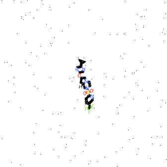 O=S(=O)(c1ccc(C(F)(F)F)cn1)N1CCN2C[C@H](Oc3cnc(C4CC4)cn3)C[C@H]2C1